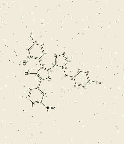 [C-]#[N+]c1c(-c2ccnc(NC(C)=O)c2)sc(-c2nccn2Cc2ccc(F)cc2)c1-c1ccc(Cl)cc1Cl